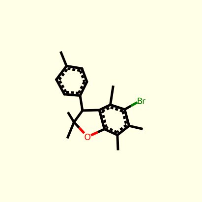 Cc1ccc(C2c3c(C)c(Br)c(C)c(C)c3OC2(C)C)cc1